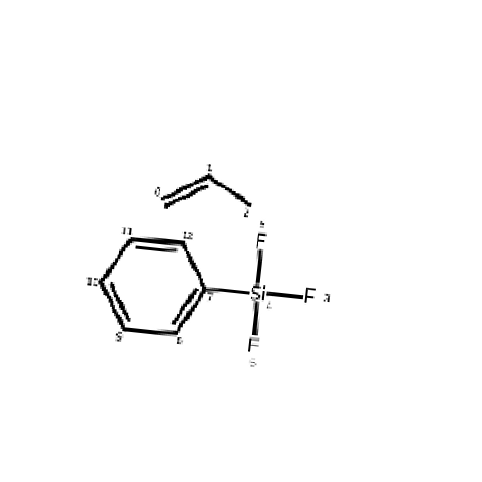 C=CC.F[Si](F)(F)c1ccccc1